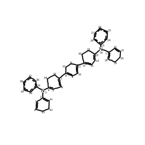 C1=CC(N(C2=CC=C(C3=CC=C(C4=CC=C(N(C5=CCCC=C5)c5ccccc5)CC4)CC3)CC2)c2ccccc2)=CCC1